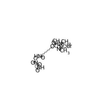 COc1cc2c(N[C@H](C)c3cccc(Br)c3)nc(C)nc2cc1OCCCCCCCCC(=O)NCc1cccc2c1CN(C1CCC(=O)NC1=O)C2=O